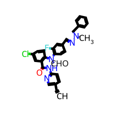 C#Cc1ccc(NC(=O)c2cc(Cl)ccc2N(C=O)c2ccc(C=NN(C)Cc3ccccc3)cc2F)nc1